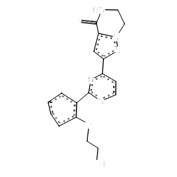 CCCOc1ccccc1-c1nccc(-c2cc3n(n2)CCNC3=O)n1